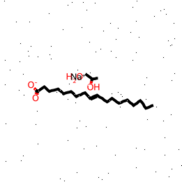 CC(C)O.CCCCCCCCC=CCCCCCCCC(=O)[O-].O.[Na+]